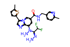 Cc1ccc(CNC(=O)c2cc(N(N)/C(=N\N)C(F)F)c3ncc(-c4ccc(C)s4)n3c2)cn1